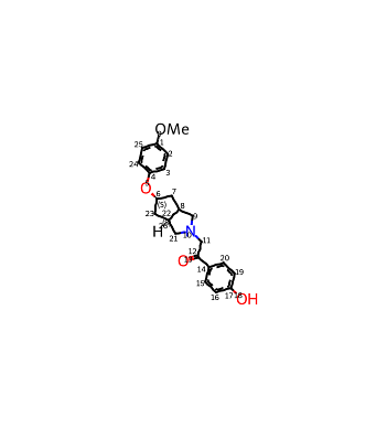 COc1ccc(O[C@H]2CC3CN(CC(=O)c4ccc(O)cc4)C[C@H]3C2)cc1